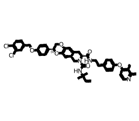 CCC(C)(C)NC(=O)N1Cc2cc3c(cc2C[C@H]1C(=O)NCCc1ccc(Oc2ccnc(C)c2C)cc1)OC[C@H](c1ccc(OCc2ccc(Cl)c(Cl)c2)cc1)O3